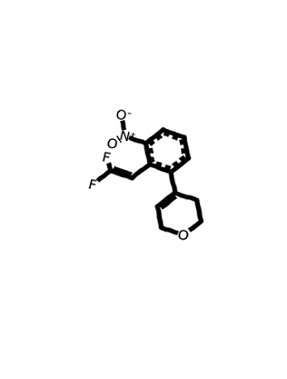 O=[N+]([O-])c1cccc(C2=CCOCC2)c1C=C(F)F